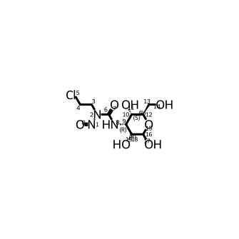 O=NN(CCCl)C(=O)N[C@@H]1[C@H](O)[C@@H](CO)OC(O)[C@@H]1O